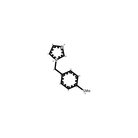 CSc1ccc(Cn2ccnc2)cc1